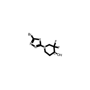 O[C@H]1CCN(c2nnc(Br)s2)CC1(F)F